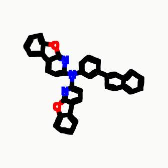 c1cc(-c2ccc3ccccc3c2)cc(N(c2ccc3c(n2)oc2ccccc23)c2ccc3c(n2)oc2ccccc23)c1